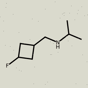 CC(C)NCC1CC(F)C1